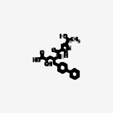 C[C@H](O)c1cc(C(=O)NC(Cc2ccc(-c3ccccc3)cc2)CC(O)C(=O)O)[nH]n1